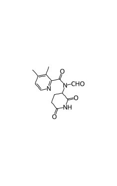 Cc1ccnc(C(=O)N(C=O)C2CCC(=O)NC2=O)c1C